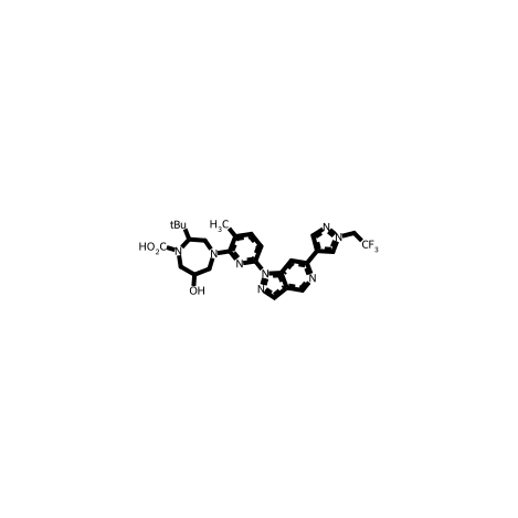 Cc1ccc(-n2ncc3cnc(-c4cnn(CC(F)(F)F)c4)cc32)nc1N1CC(O)CN(C(=O)O)C(C(C)(C)C)C1